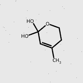 CC1=CC(O)(O)OCC1